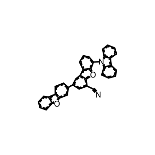 N#Cc1cc(-c2ccc3c(c2)oc2ccccc23)cc2c1oc1c(-n3c4ccccc4c4ccccc43)cccc12